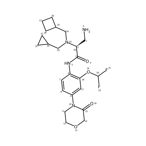 NC[C@@H](C(=O)Nc1ccc(N2CCOCC2=O)cc1OC(F)F)N(CC1CCC1)CC1CC1